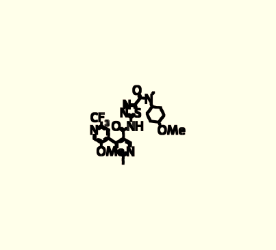 COc1cnc(C(F)(F)F)cc1-c1cc(C)ncc1C(=O)Nc1nnc(C(=O)N(C)C2CCC(OC)CC2)s1